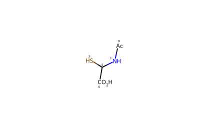 CC(=O)NC(S)C(=O)O